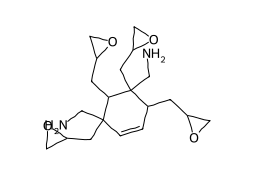 NCC1(CC2CO2)C=CC(CC2CO2)C(CN)(CC2CO2)C1CC1CO1